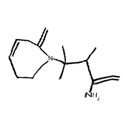 C=C(N)C(C)C(C)(C)N1CCC=CC1=C